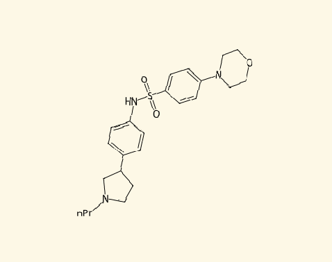 CCCN1CCC(c2ccc(NS(=O)(=O)c3ccc(N4CCOCC4)cc3)cc2)C1